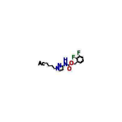 CC(=O)CCCCn1ccc(NC(=O)OCc2cccc(F)c2F)n1